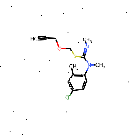 C#CCOCSC(=NC)N(C)c1ccc(Cl)cc1C